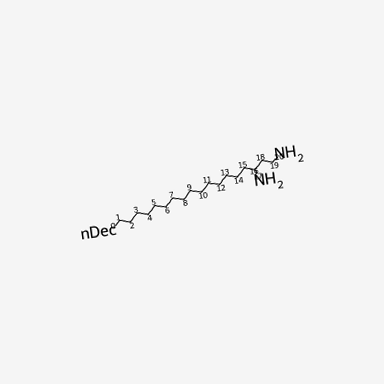 CCCCCCCCCCCCCCCCCCCCCCCCCC(N)CCN